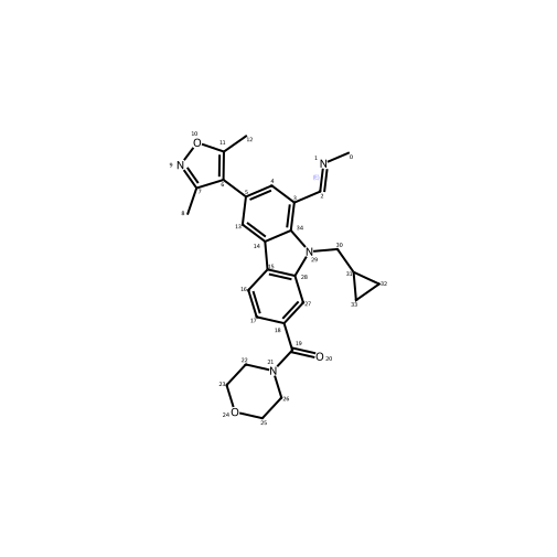 C/N=C/c1cc(-c2c(C)noc2C)cc2c3ccc(C(=O)N4CCOCC4)cc3n(CC3CC3)c12